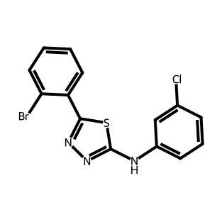 Clc1cccc(Nc2nnc(-c3ccccc3Br)s2)c1